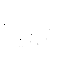 CC(N)(O)C(S)C(=O)ON